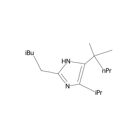 CCCC(C)(C)c1[nH]c(CC(C)CC)nc1C(C)C